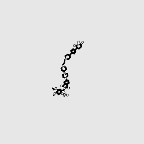 CCOc1cc([C@@H](CS(C)(=O)=O)N2C(=O)c3ccc(N4CCN(C5CCN(CCCN6CCC(c7ccc(C8CCC(=O)NC8=O)cc7)CC6)CC5)CC4)cc3C2=O)ccc1OC